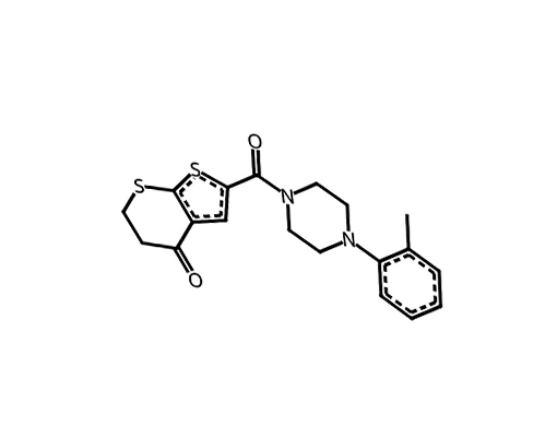 Cc1ccccc1N1CCN(C(=O)c2cc3c(s2)SCCC3=O)CC1